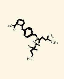 CCCC(F)(F)c1nc(CCC(C)C)n(Cc2ccc(Cc3ccccc3C(=O)O)cc2)n1